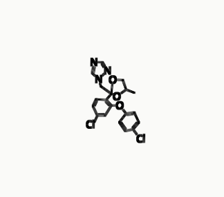 CC1COC(Cn2cncn2)(c2ccc(Cl)cc2Oc2ccc(Cl)cc2)O1